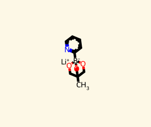 CC12CO[B-](c3ccccn3)(OC1)OC2.[Li+]